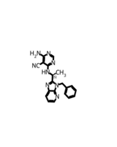 C[C@H](Nc1ncnc(N)c1C#N)c1nc2cccnc2n1Cc1ccccc1